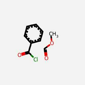 COC=O.O=C(Cl)c1ccccc1